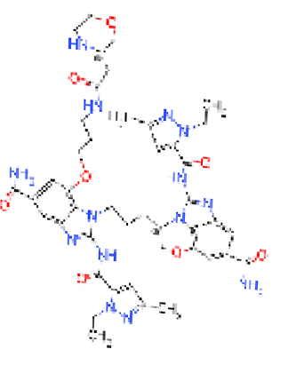 CCn1nc(C)cc1C(=O)Nc1nc2cc(C(N)=O)cc(OCCCNC(=O)C[C@H]3COCCN3)c2n1CCC[C@H]1COc2cc(C(N)=O)cc3nc(NC(=O)c4cc(C)nn4CC)n1c23